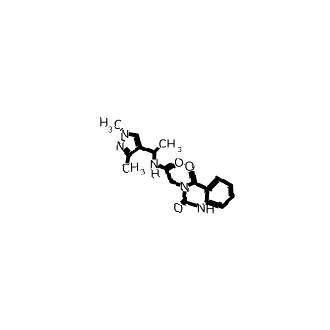 Cc1nn(C)cc1C(C)NC(=O)Cn1c(=O)[nH]c2ccccc2c1=O